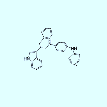 c1ccc(CC(CNc2ccc(Nc3ccncc3)cc2)c2c[nH]c3ccccc23)cc1